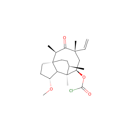 C=C[C@]1(C)C[C@@H](OC(=O)Cl)[C@@]2(C)C3[C@H](OC)CC[C@@]3(CC[C@H]2C)[C@@H](C)C1=O